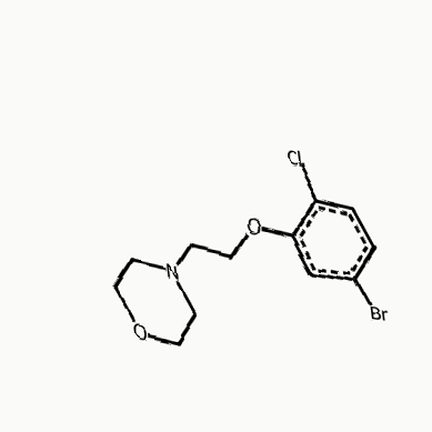 Clc1ccc(Br)cc1OCCN1CCOCC1